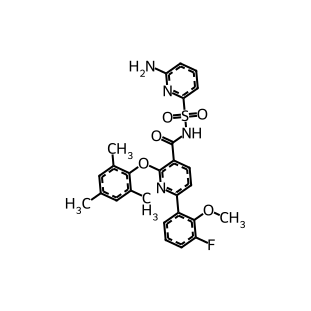 COc1c(F)cccc1-c1ccc(C(=O)NS(=O)(=O)c2cccc(N)n2)c(Oc2c(C)cc(C)cc2C)n1